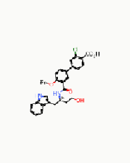 CC(C)Oc1ccc(-c2ccc(C(=O)O)c(Cl)c2)cc1C(=O)N[C@@H](CCO)Cc1c[nH]c2ccccc12